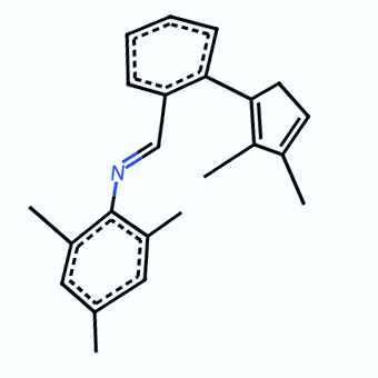 CC1=CCC(c2ccccc2/C=N/c2c(C)cc(C)cc2C)=C1C